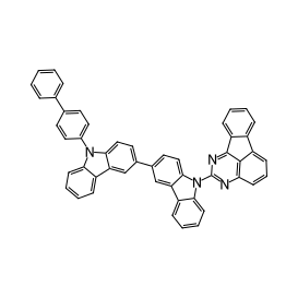 c1ccc(-c2ccc(-n3c4ccccc4c4cc(-c5ccc6c(c5)c5ccccc5n6-c5nc6c7c(cccc7n5)-c5ccccc5-6)ccc43)cc2)cc1